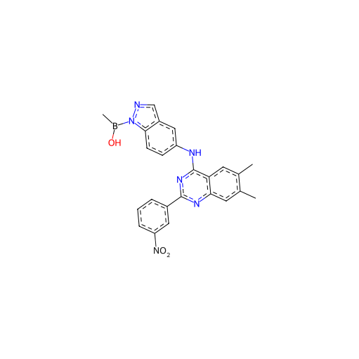 CB(O)n1ncc2cc(Nc3nc(-c4cccc([N+](=O)[O-])c4)nc4cc(C)c(C)cc34)ccc21